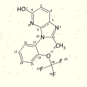 Cc1nc2ccc(O)nc2n1-c1ccccc1OC(F)(F)F